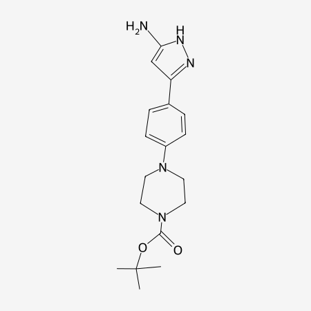 CC(C)(C)OC(=O)N1CCN(c2ccc(-c3cc(N)[nH]n3)cc2)CC1